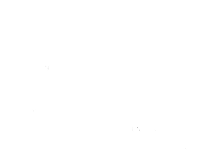 C=CC(=O)NCCCCOCCN(CCO)c1ccccc1